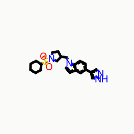 O=S(=O)(C1CCCCC1)N1CCC(Cn2ccc3cc(-c4cn[nH]c4)ccc32)C1